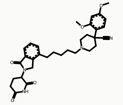 COc1ccc(C2(C#N)CCN(CCCCCc3cccc4c3CN(C3CCC(=O)NC3=O)C4=O)CC2)c(OC)c1